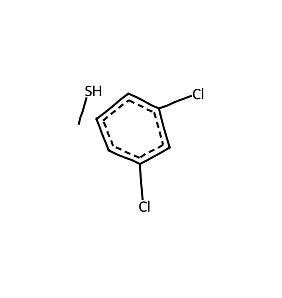 CS.Clc1cccc(Cl)c1